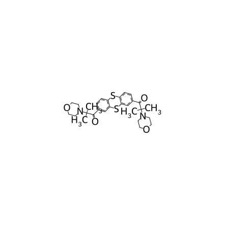 CC(C)(C(=O)c1ccc2c(c1)Sc1cc(C(=O)C(C)(C)N3CCOCC3)ccc1S2)N1CCOCC1